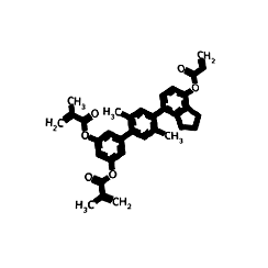 C=CC(=O)Oc1ccc(-c2cc(C)c(-c3cc(OC(=O)C(=C)C)cc(OC(=O)C(=C)C)c3)cc2C)c2c1CCC2